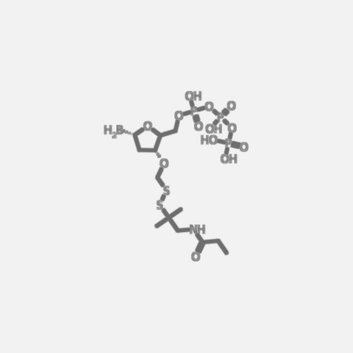 B[C@H]1C[C@@H](OCSSC(C)(C)CNC(=O)CC)C(COP(=O)(O)OP(=O)(O)OP(=O)(O)O)O1